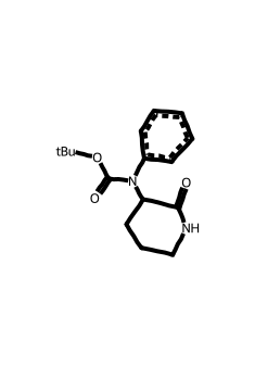 CC(C)(C)OC(=O)N(c1ccccc1)C1CCCNC1=O